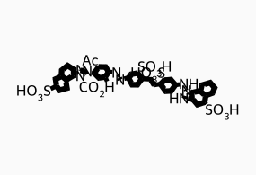 CC(=O)c1cc(N=Nc2ccc(C=Cc3ccc(Nn4[nH]c5cc(S(=O)(=O)O)c6ccccc6c54)cc3S(=O)(=O)O)c(S(=O)(=O)O)c2)c(C(=O)O)cc1-n1n2c3ccc4cc(S(=O)(=O)O)ccc4c3n12